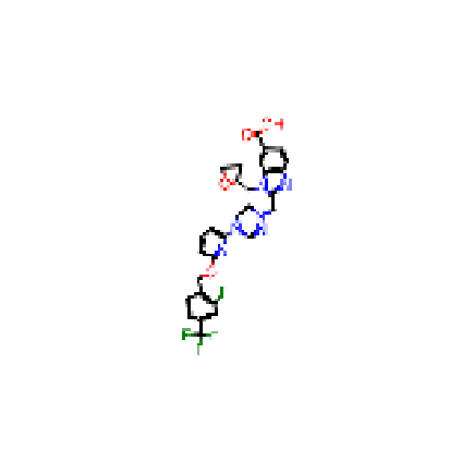 O=C(O)c1ccc2nc(CN3CCN(c4cccc(OCc5ccc(C(F)(F)F)cc5F)n4)C=N3)n(C[C@@H]3CCO3)c2c1